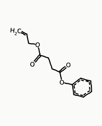 C=CCOC(=O)CCC(=O)Oc1ccccc1